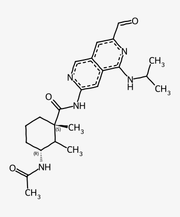 CC(=O)N[C@@H]1CCC[C@](C)(C(=O)Nc2cc3c(NC(C)C)nc(C=O)cc3cn2)C1C